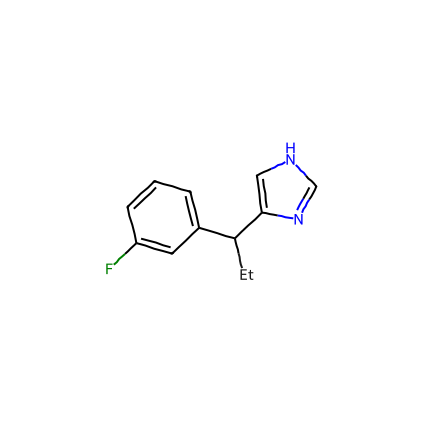 CCC(c1cccc(F)c1)c1c[nH]cn1